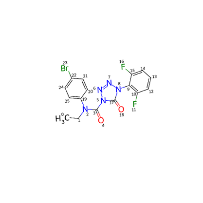 CCN(C(=O)n1nnn(-c2c(F)cccc2F)c1=O)c1ccc(Br)cc1